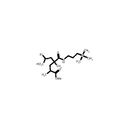 CCC(CC(C)(CC(C)C(=O)OC)C(=O)NCCC[N+](C)(C)C)C(=O)O